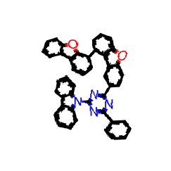 c1ccc(-c2nc(-c3ccc4oc5cccc(-c6cccc7c6oc6ccccc67)c5c4c3)nc(-n3c4ccccc4c4ccccc43)n2)cc1